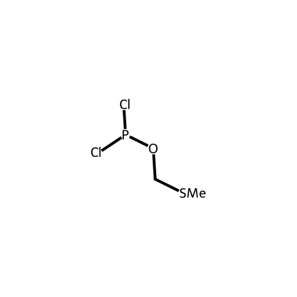 CSCOP(Cl)Cl